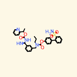 CCCN(Cc1cccc(C(=N)NC(=O)OC(C)c2ccccn2)c1)C(=O)Oc1ccc(-c2ccccc2S(N)(=O)=O)cc1